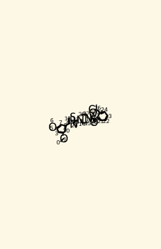 COc1cc(OC)cc(-c2csc(N3CCN(S(=O)(=O)c4ccccc4Cl)CC3)n2)c1